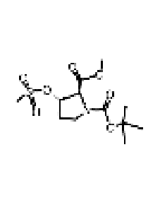 COC(=O)[C@@H]1[C@@H](OS(C)(=O)=O)CCN1C(=O)OC(C)(C)C